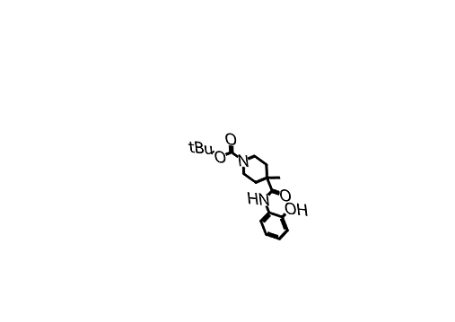 CC(C)(C)OC(=O)N1CCC(C)(C(=O)Nc2ccccc2O)CC1